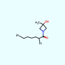 CCC(CCCCC(C)C)C(=O)N1CC(C)(O)C1